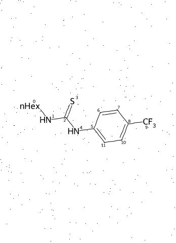 CCCCCCNC(=S)Nc1ccc(C(F)(F)F)cc1